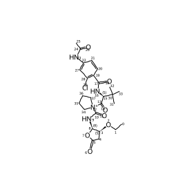 CCO[C@H]1CC(=O)O[C@H]1NC(=O)[N+]1(C(=O)[C@@H](NC(=O)c2ccc(NC(C)=O)cc2Cl)C(C)(C)C)CCCC1